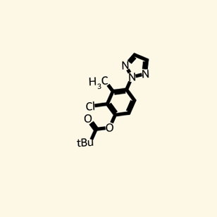 Cc1c(-n2nccn2)ccc(OC(=O)C(C)(C)C)c1Cl